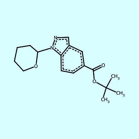 CC(C)(C)OC(=O)c1ccc2c(cnn2C2CCCCO2)c1